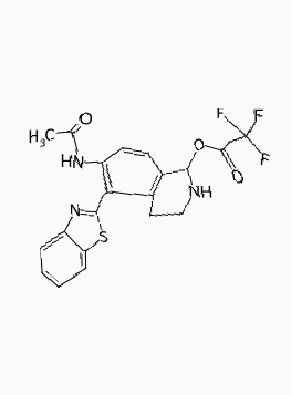 CC(=O)Nc1ccc2c(c1-c1nc3ccccc3s1)CCNC2OC(=O)C(F)(F)F